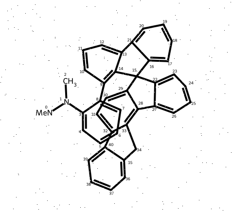 CNN(C)c1ccccc1-c1cccc2c1C1(c3ccccc3-2)c2ccccc2-c2c1ccc1c2Cc2ccccc2-1